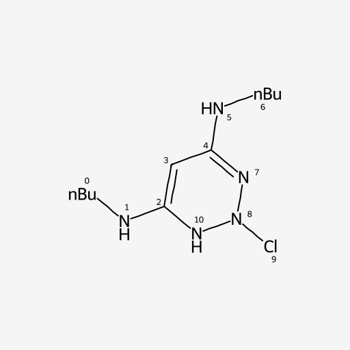 CCCCNC1=CC(NCCCC)=NN(Cl)N1